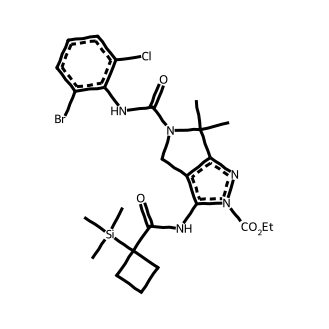 CCOC(=O)n1nc2c(c1NC(=O)C1([Si](C)(C)C)CCC1)CN(C(=O)Nc1c(Cl)cccc1Br)C2(C)C